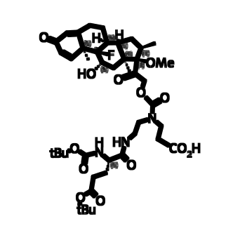 CO[C@]1(C(=O)COC(=O)N(CCNC(=O)[C@H](CCC(=O)OC(C)(C)C)NC(=O)OC(C)(C)C)CCC(=O)O)[C@H](C)C[C@H]2[C@@H]3CCC4=CC(=O)C=C[C@]4(C)[C@@]3(F)[C@@H](O)C[C@@]21C